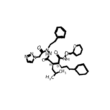 CC(C)C[C@@H](C(=O)NN(CCc1ccccc1)C(=O)Cn1ccnn1)[C@H](CCCC1CCCCC1)C(=O)NOC1CCCCO1